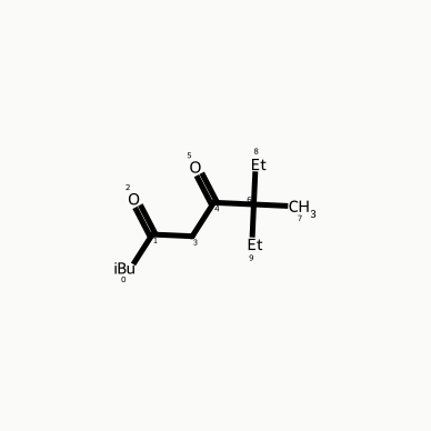 CCC(C)C(=O)CC(=O)C(C)(CC)CC